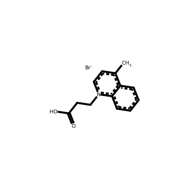 Cc1cc[n+](CCC(=O)O)c2ccccc12.[Br-]